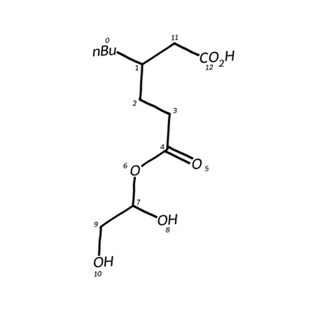 CCCCC(CCC(=O)OC(O)CO)CC(=O)O